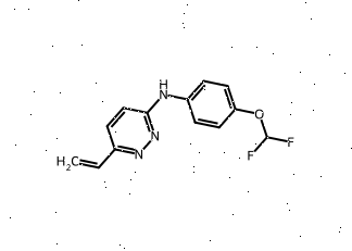 C=Cc1ccc(Nc2ccc(OC(F)F)cc2)nn1